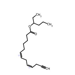 C#CC/C=C\C/C=C\CCCCC(=O)OC(CC)CCC